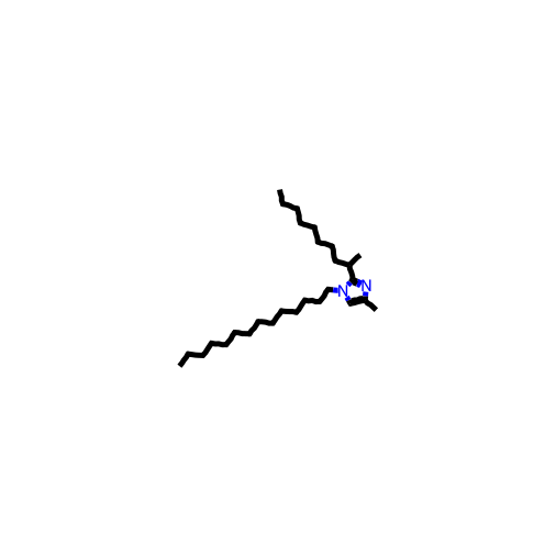 CCCCCCCCCCCCCCn1cc(C)nc1C(C)CCCCCCCC